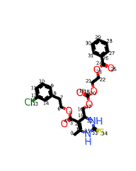 CC1=C(C(=O)OCCc2cccc(Cl)c2)C(COC(=O)OCCOC(=O)c2ccccc2)NC(=S)N1